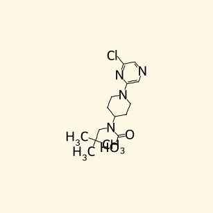 CC(C)(C)CN(C(=O)O)C1CCN(c2cncc(Cl)n2)CC1